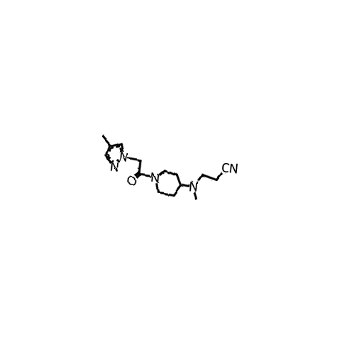 Cc1cnn(CC(=O)N2CCC(N(C)CCC#N)CC2)c1